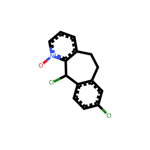 [O-][n+]1cccc2c1C(Cl)c1ccc(Cl)cc1CC2